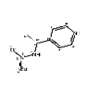 C[C@@H](N[S@+]([O-])C(C)(C)C)c1ccncc1